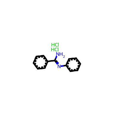 Cl.Cl.NC(=Nc1ccccc1)c1ccccc1